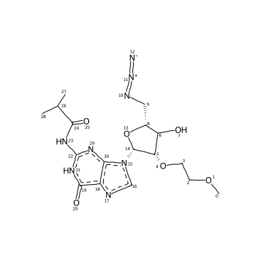 COCCO[C@H]1C(O)[C@@H](CN=[N+]=[N-])O[C@H]1n1cnc2c(=O)[nH]c(NC(=O)C(C)C)nc21